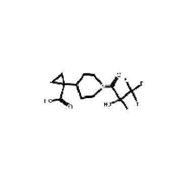 CC(O)(C(=O)N1CCC(C2(C(=O)O)CC2)CC1)C(F)(F)F